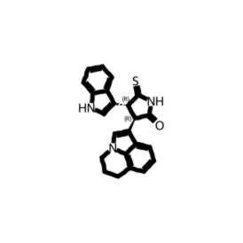 O=C1NC(=S)[C@@H](c2c[nH]c3ccccc23)[C@@H]1c1cn2c3c(cccc13)CCC2